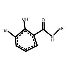 CCCNC(=O)c1cccc(CC)c1O